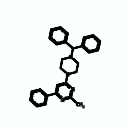 Cc1nc(-c2ccccc2)cc(N2CCN(C(c3ccccc3)c3ccccc3)CC2)n1